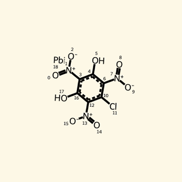 O=[N+]([O-])c1c(O)c([N+](=O)[O-])c(Cl)c([N+](=O)[O-])c1O.[Pb]